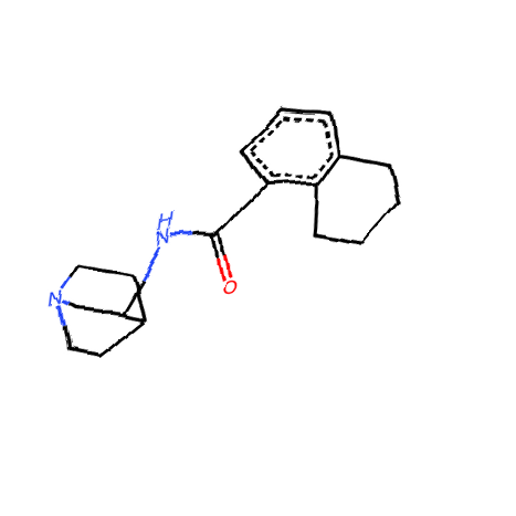 O=C(NC1CN2CCC1CC2)c1cccc2c1CCCC2